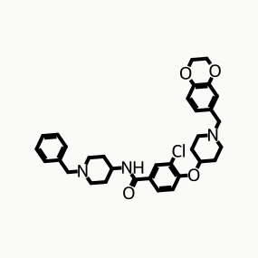 O=C(NC1CCN(Cc2ccccc2)CC1)c1ccc(OC2CCN(Cc3ccc4c(c3)OCCO4)CC2)c(Cl)c1